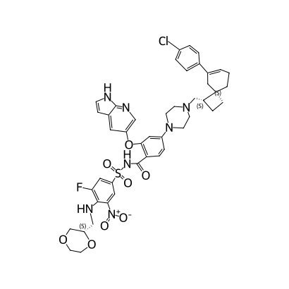 O=C(NS(=O)(=O)c1cc(F)c(NC[C@H]2COCCO2)c([N+](=O)[O-])c1)c1ccc(N2CCN(C[C@H]3CC[C@]34CCC=C(c3ccc(Cl)cc3)C4)CC2)cc1Oc1cnc2[nH]ccc2c1